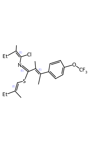 CC/C(C)=C/SC(=N/C(Cl)=C(/C)CC)/C(C)=C(\C)c1ccc(OC(F)(F)F)cc1